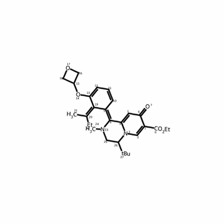 CCOC(=O)c1cn2c(cc1=O)/C(=c1\cccc(OC3COC3)\c1=C(/C)CC)N(C)CC2C(C)(C)C